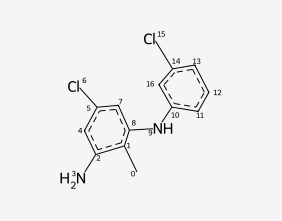 Cc1c(N)cc(Cl)cc1Nc1cccc(Cl)c1